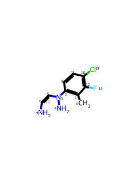 Cc1c(N(N)/C=C\N)ccc(Cl)c1F